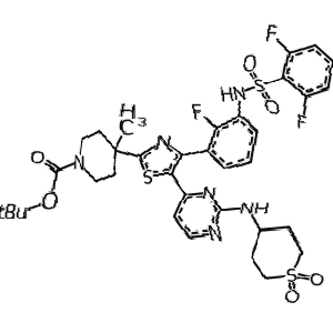 CC(C)(C)OC(=O)N1CCC(C)(c2nc(-c3cccc(NS(=O)(=O)c4c(F)cccc4F)c3F)c(-c3ccnc(NC4CCS(=O)(=O)CC4)n3)s2)CC1